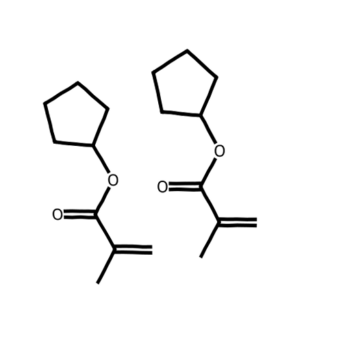 C=C(C)C(=O)OC1CCCC1.C=C(C)C(=O)OC1CCCC1